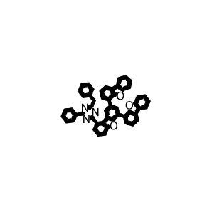 c1ccc(Cc2nc(-c3ccccc3)nc(-c3cccc4oc5c(-c6cccc7c6oc6ccccc67)cc(-c6cccc7c6oc6ccccc67)cc5c34)n2)cc1